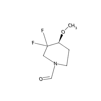 CO[C@H]1CCN(C=O)CC1(F)F